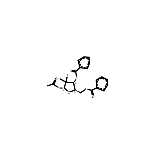 CC(=O)O[C@@H]1O[C@H](COC(=O)c2ccccc2)[C@H](OC(=O)c2ccccc2)C1(C)F